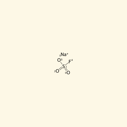 O=S(=O)([O-])F.[Na+]